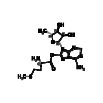 CSCC[C@H](N)C(=O)Oc1nc2c(N)ncnc2n1[C@@H]1O[C@H](C)[C@@H](O)[C@H]1O